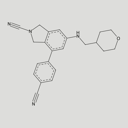 N#Cc1ccc(-c2cc(NCC3CCOCC3)cc3c2CN(C#N)C3)cc1